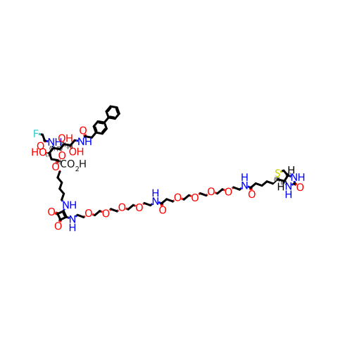 O=C(CCCC[C@H]1SC[C@H]2NC(=O)N[C@H]21)NCCOCCOCCOCCOCCC(=O)NCCOCCOCCOCCOCCNc1c(NCCCCCCO[C@]2(C(=O)O)C[C@H](O)[C@@H](NC(=O)CF)[C@H]([C@H](O)[C@H](O)CNC(=O)Cc3ccc(-c4ccccc4)cc3)O2)c(=O)c1=O